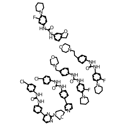 O=C(Nc1ccc(CCN2CCOCC2)cc1)Nc1ccc(N2CCCCC2)c(F)c1.O=C(Nc1ccc(CN2CCOCC2)cc1)Nc1ccc(N2CCCCC2)c(F)c1.O=C(Nc1ccc(Cl)cc1)Nc1ccc(-c2ccncc2)cc1.O=C(Nc1ccc(Cl)cc1)Nc1cccc(-c2ccnc(N3CCCCC3)n2)c1.O=C(Nc1ccc(N2CCCCC2)c(F)c1)Nc1ccc2c(c1)OCC2